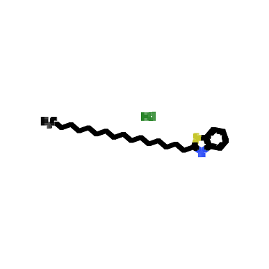 CCCCCCCCCCCCCCCCc1nc2ccccc2s1.Cl